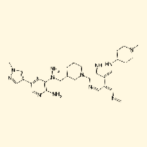 C=N/C=C(\C=N/CN1CCCC(CN(N)c2nc(-c3cnn(C)c3)cnc2N)C1)C(/C=N)=C/NC1CCN(C)CC1